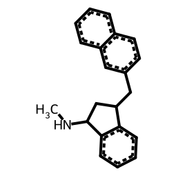 CNC1CC(Cc2ccc3ccccc3c2)c2ccccc21